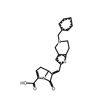 O=C(O)C1=CCC2/C(=C\c3cc4c(s3)CCN(Cc3ccccc3)C4)C(=O)N12